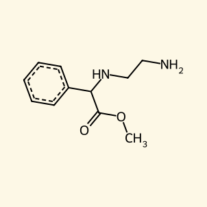 COC(=O)C(NCCN)c1ccccc1